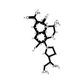 CCC(N)C1CCN(c2c(F)cc3cc(C(=O)O)c(=O)n4c3c2OC[C@@H]4C)C1